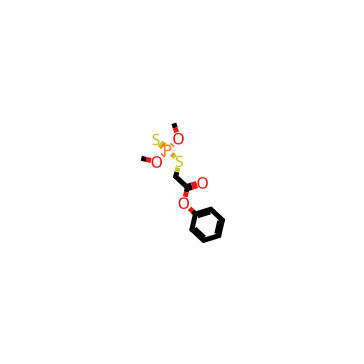 COP(=S)(OC)SCC(=O)Oc1ccccc1